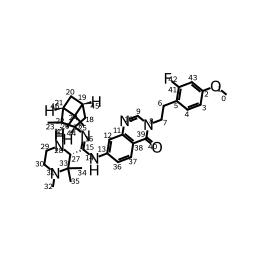 COc1ccc(CCn2cnc3cc(NC(=N[C@H]4C[C@H]5C[C@@H]([C@@H]4C)C5(C)C)[C@H]4NCCN(C)C4(C)C)ccc3c2=O)c(F)c1